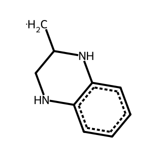 [CH2]C1CNc2ccccc2N1